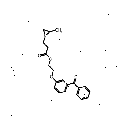 CC1CN1CCC(=O)OCCOc1cccc(C(=O)c2ccccc2)c1